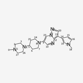 CN1CCN(C2CCN(c3cnc4c(-c5ccn(C)c5)cnn4c3)CC2)CC1